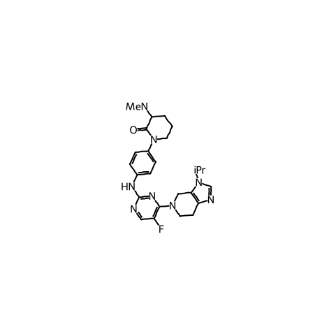 CNC1CCCN(c2ccc(Nc3ncc(F)c(N4CCc5ncn(C(C)C)c5C4)n3)cc2)C1=O